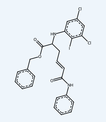 O=C(/C=C/CC(Nc1cc(Cl)cc(Cl)c1I)C(=O)OCc1ccccc1)Nc1ccccc1